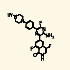 CC(C)N1CCN(c2ccc(-c3nc(-c4cc(F)c5c(=O)[nH]cc(F)c5c4)c(N)nc3F)cc2)CC1